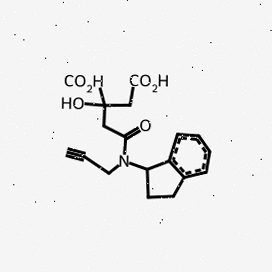 C#CCN(C(=O)CC(O)(CC(=O)O)C(=O)O)C1CCc2ccccc21